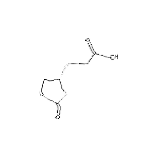 O=C(O)CC[C@H]1COC(=O)C1